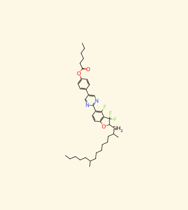 CCCCCC(=O)Oc1ccc(-c2cnc(-c3ccc4c(c3F)C(F)(F)C([SiH2]C(C)CCCCCCC(C)CCCCC)O4)nc2)cc1